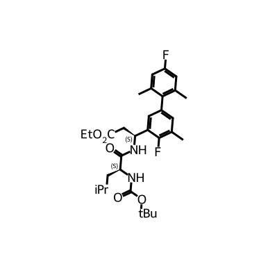 CCOC(=O)C[C@H](NC(=O)[C@H](CC(C)C)NC(=O)OC(C)(C)C)c1cc(-c2c(C)cc(F)cc2C)cc(C)c1F